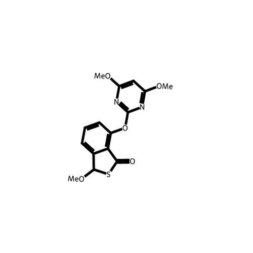 COc1cc(OC)nc(Oc2cccc3c2C(=O)SC3OC)n1